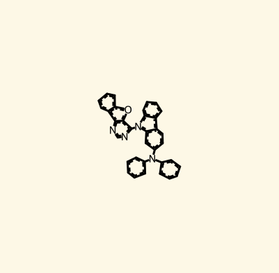 c1ccc(N(c2ccccc2)c2ccc3c4ccccc4n(-c4ncnc5c4oc4ccccc45)c3c2)cc1